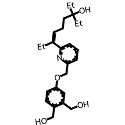 CC/C(=C/CCC(O)(CC)CC)c1cccc(COc2ccc(CO)c(CO)c2)n1